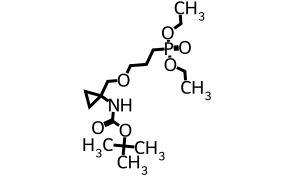 CCOP(=O)(CCCOCC1(NC(=O)OC(C)(C)C)CC1)OCC